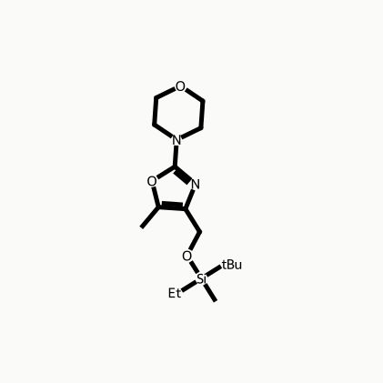 CC[Si](C)(OCc1nc(N2CCOCC2)oc1C)C(C)(C)C